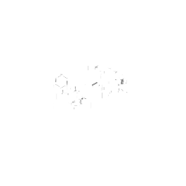 CC1[C@@H]2[C@@H](C#C[C@@H](COc3ccccc3)O[Si](C)(C)C(C)(C)C)[C@H](O)CC[C@]2(C)C12OCCO2